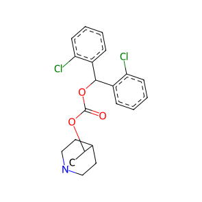 O=C(OC(c1ccccc1Cl)c1ccccc1Cl)OC1CN2CCC1CC2